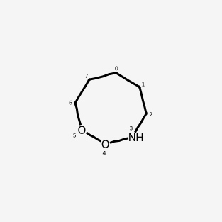 C1CCNOOCC1